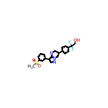 CS(=O)(=O)c1cccc(-c2cnn3cc(-c4ccc(C(F)(F)CO)cc4)cnc23)c1